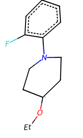 CCO[C]1CCN(c2ccccc2F)CC1